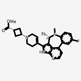 CC[C@H]1c2c(C3=CCN([C@H]4C[C@@H](C(=O)OC)C4)CC3)[nH]c3nccc(c23)-c2cc(F)ccc2N1C